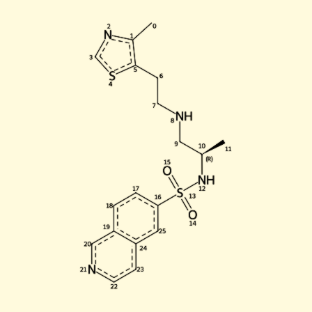 Cc1ncsc1CCNC[C@@H](C)NS(=O)(=O)c1ccc2cnccc2c1